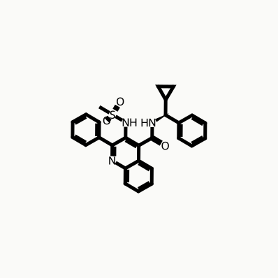 CS(=O)(=O)Nc1c(-c2ccccc2)nc2ccccc2c1C(=O)N[C@H](c1ccccc1)C1CC1